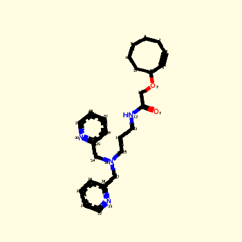 O=C(COC1C#CCCCCC1)NCCCN(Cc1ccccn1)Cc1ccccn1